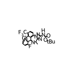 CC1N=C(c2ncccc2F)c2c(ccc(C(F)(F)F)c2Cl)-n2nc(NC(=O)OC(C)(C)C)nc21